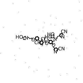 Cc1c(OCCCN2CC[C@@H](O)C2)cccc1-c1cccc(COc2cc(OCc3cncc(C#N)c3)c(CN(CCc3cncc(C#N)c3)C(CO)CO)cc2Cl)c1Cl